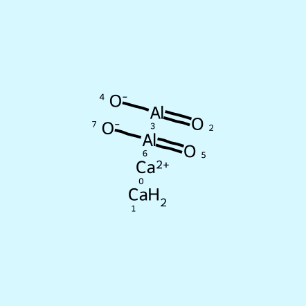 [Ca+2].[CaH2].[O]=[Al][O-].[O]=[Al][O-]